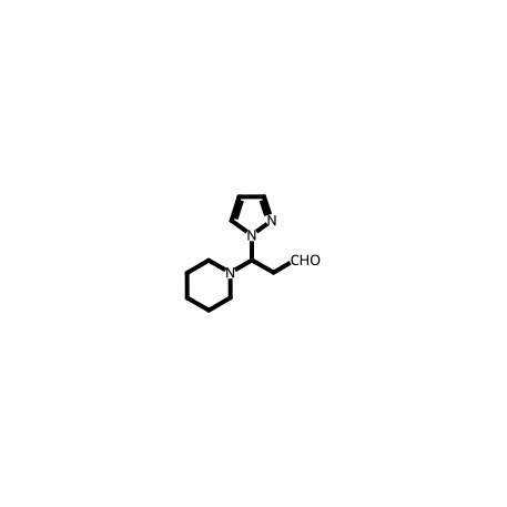 O=CCC(N1CCCCC1)n1cccn1